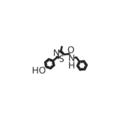 Cc1nc(-c2ccc(O)cc2)sc1C(=O)NCc1ccccc1